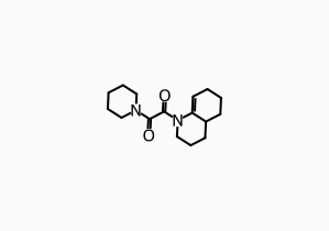 O=C(C(=O)N1CCCC2CCCC=C21)N1CCCCC1